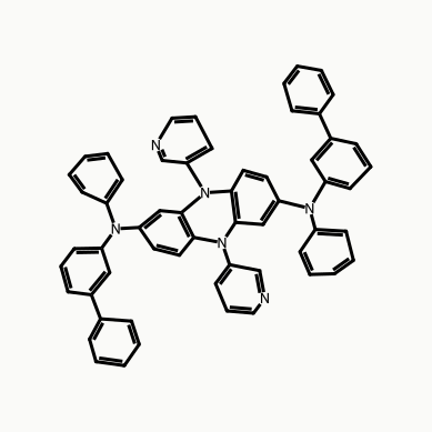 c1ccc(-c2cccc(N(c3ccccc3)c3ccc4c(c3)N(c3cccnc3)c3ccc(N(c5ccccc5)c5cccc(-c6ccccc6)c5)cc3N4c3cccnc3)c2)cc1